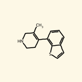 CC1=C(c2cccc3ccsc23)CCNC1